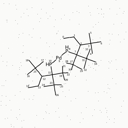 CCC(C(C)(C)C)C([PH][Pd][PH]C(C(CC)C(C)(C)C)(C(C)(C)C)C(C)(C)C)(C(C)(C)C)C(C)(C)C